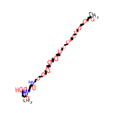 CSC(CC(=O)O)C(=O)NCCC(=O)NCCOCCOCCOCCOCCOCCOCCOCCOCCOCCOCCOCCOCCC(C)=O